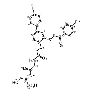 O=C(COc1ccc(-c2ccc(F)cc2)cc1SCC(=O)c1ccc(F)cc1)NCC(=O)N[C@H](CO)C(=O)O